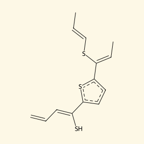 C=C/C=C(\S)c1ccc(/C(=C/C)S/C=C/C)s1